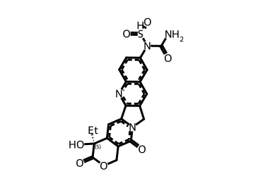 CC[C@@]1(O)C(=O)OCc2c1cc1n(c2=O)Cc2cc3cc(N(C(N)=O)[SH](=O)=O)ccc3nc2-1